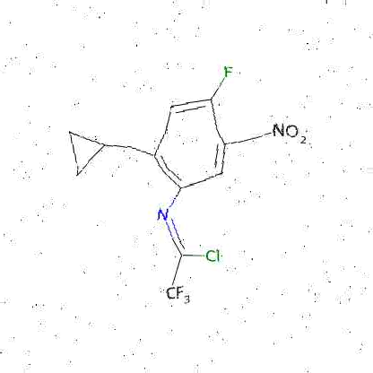 O=[N+]([O-])c1cc(/N=C(\Cl)C(F)(F)F)c(C2CC2)cc1F